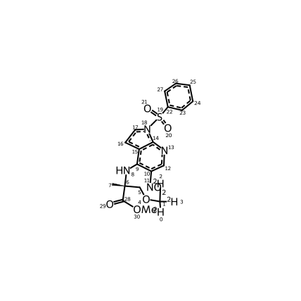 [2H]C([2H])([2H])OC[C@@](C)(Nc1c([N+](=O)[O-])cnc2c1ccn2S(=O)(=O)c1ccccc1)C(=O)OC